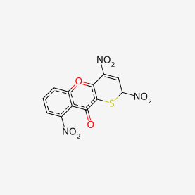 O=c1c2c(oc3cccc([N+](=O)[O-])c13)C([N+](=O)[O-])=CC([N+](=O)[O-])S2